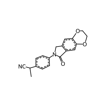 CC(C#N)c1ccc(N2Cc3cc4c(cc3C2=O)OCCO4)cc1